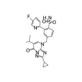 CC(C)c1cn(Cc2ccc(S(N)(=O)=O)c(-c3ccc(F)cn3)c2)c2nc(C3CC3)nn2c1=O